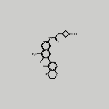 Cc1c(-c2cc3cc(NC(=O)OC4CN(O)C4)ncc3c(N)c2F)cnc2c1NCCO2